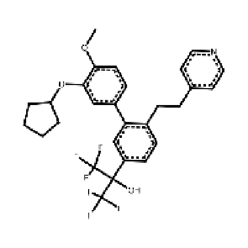 COc1ccc(-c2cc(C(O)(C(F)(F)F)C(F)(F)F)ccc2CCc2ccncc2)cc1OC1CCCC1